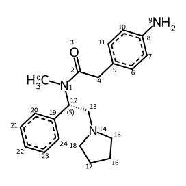 CN(C(=O)Cc1ccc(N)cc1)[C@H](CN1CCCC1)c1ccccc1